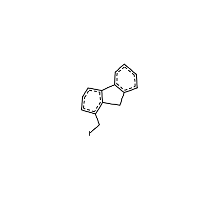 ICc1cccc2c1Cc1ccccc1-2